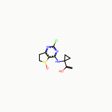 C=C(O)C1(Nc2nc(Cl)nc3c2[S+]([O-])CC3)CC1